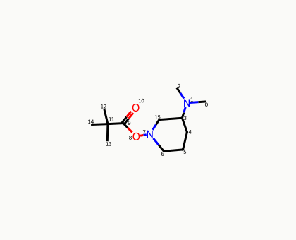 CN(C)C1CCCN(OC(=O)C(C)(C)C)C1